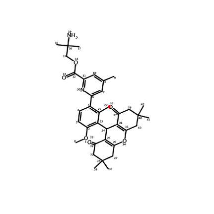 COc1ccc(-c2cc(C)cc(C(=O)OCC(C)(C)N)n2)c(C)c1C1C2=C(CC(C)(C)CC2=O)OC2=C1C(=O)CC(C)(C)C2